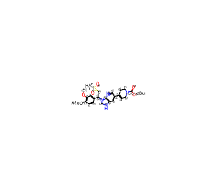 CCOc1cc([C@@H](CS(C)(=O)=O)N2CNc3cc(C4=CCN(C(=O)OC(C)(C)C)CC4)cnc32)ccc1OC